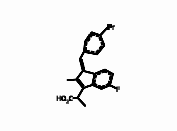 CC1=C(C(C)C(=O)O)c2cc(F)ccc2/C1=C\c1ccc(C(C)C)cc1